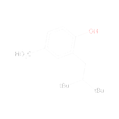 CC(C)(C)C(Cc1cc(C(=O)O)ccc1O)C(C)(C)C